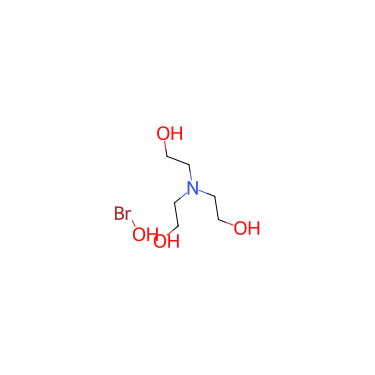 OBr.OCCN(CCO)CCO